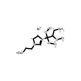 CCCCCCCCCCCCN1C=[N+](C(OCC)(OCC)C(C[SiH3])OCC)CC1.[Br-]